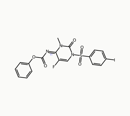 Cn1c(=O)n(S(=O)(=O)c2ccc(I)cc2)cc(F)/c1=N\C(=O)Oc1ccccc1